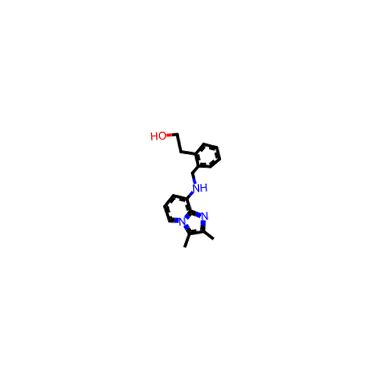 Cc1nc2c(NCc3ccccc3CCO)cccn2c1C